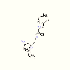 C=C/C=C(\C=C/N)/C=C/C(=O)/C=C/c1ccncc1